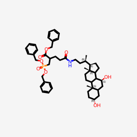 C[C@H](CCNC(=O)CCC(CP(=O)(OCc1ccccc1)OCc1ccccc1)C(=O)OCc1ccccc1)[C@H]1CCC2C3C(CC[C@@]21C)[C@@]1(C)CC[C@@H](O)CC1C[C@@H]3O